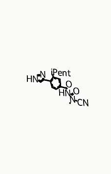 CCCC(C)c1cc(C(=O)NC(=O)N(C)C#N)ccc1-c1c[nH]cn1